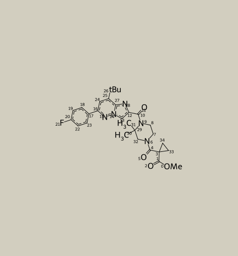 COC(=O)C1(C(=O)N2CCN(C(=O)c3cn4nc(-c5ccc(F)cc5)cc(C(C)(C)C)c4n3)C(C)(C)C2)CC1